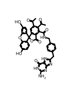 CC(=O)c1cc2c(c(C(=O)NCc3ccc(Cc4nc5nc(N)[nH]c(=O)c5[nH]4)cc3)c1C(C)=O)C(=O)OC21c2ccc(O)cc2Oc2cc(O)ccc21